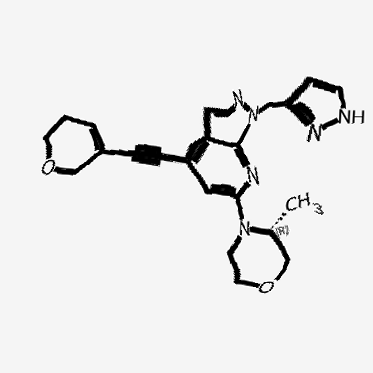 C[C@@H]1COCCN1c1cc(C#CC2=CCCOC2)c2cnn(-c3cc[nH]n3)c2n1